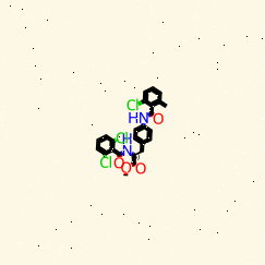 COC(=O)[C@H](Cc1ccc(NC(=O)c2c(C)cccc2Cl)cc1)NC(=O)c1c(Cl)cccc1Cl